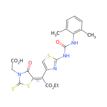 CCOC(=O)/C(=C1\SC(=S)N(CC(=O)O)C1=O)c1csc(NC(=O)Nc2c(C)cccc2C)n1